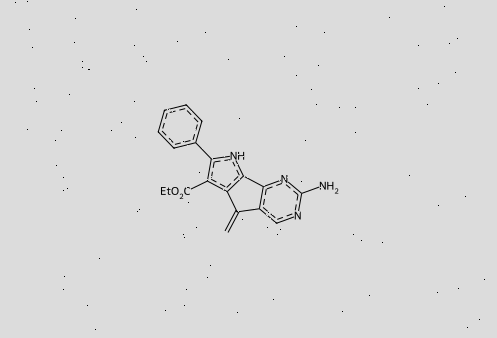 C=C1c2cnc(N)nc2-c2[nH]c(-c3ccccc3)c(C(=O)OCC)c21